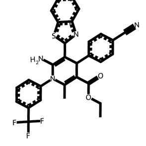 CCOC(=O)C1=C(C)N(c2cccc(C(F)(F)F)c2)C(N)=C(c2nc3ccccc3s2)C1c1ccc(C#N)cc1